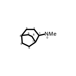 CNC1CCC2CCC1CC2